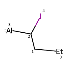 CCC[CH]([Al])I